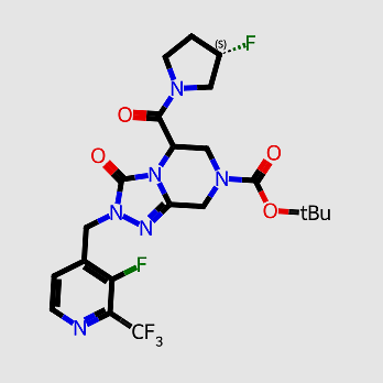 CC(C)(C)OC(=O)N1Cc2nn(Cc3ccnc(C(F)(F)F)c3F)c(=O)n2C(C(=O)N2CC[C@H](F)C2)C1